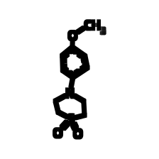 COc1ccc(N2CCS(=O)(=O)CC2)cc1